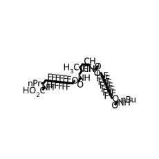 CCCCNC(=O)OCC(F)(F)C(F)(F)C(F)(F)C(F)(F)C(F)(F)C(F)(F)COC(=O)NCC(C)(C)CC(C)CCNC(=O)OCC(F)(F)C(F)(F)C(F)(F)C(F)(F)C(F)(F)C(F)(F)CC(CCC)NC(=O)O